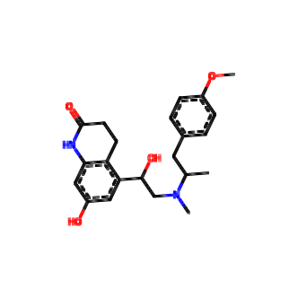 COc1ccc(CC(C)N(C)CC(O)c2cc(O)cc3c2CCC(=O)N3)cc1